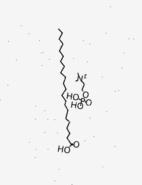 CCCCCCCCCCCCCCCCCCCCCC(=O)O.C[N+](C)(C)CCOP(=O)(O)O